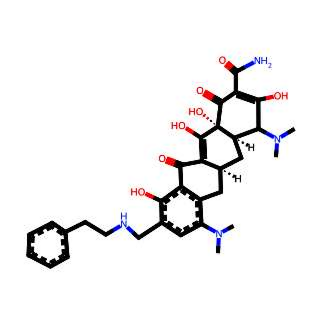 CN(C)c1cc(CNCCc2ccccc2)c(O)c2c1C[C@@H]1C[C@@H]3C(N(C)C)C(O)=C(C(N)=O)C(=O)[C@]3(O)C(O)=C1C2=O